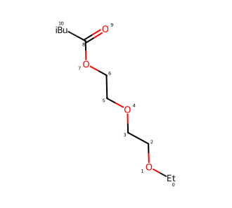 CCOCCOCCOC(=O)C(C)CC